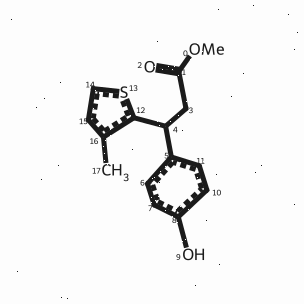 COC(=O)CC(c1ccc(O)cc1)c1sccc1C